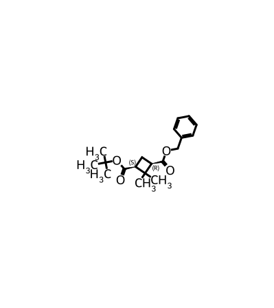 CC(C)(C)OC(=O)[C@H]1C[C@@H](C(=O)OCc2ccccc2)C1(C)C